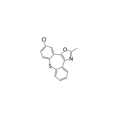 Cc1nc2c(o1)-c1cc(Cl)ccc1Sc1ccccc1-2